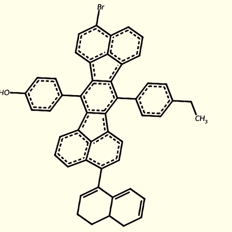 CCc1ccc(-c2c3c4cccc5c(Br)ccc(c3c(-c3ccc(O)cc3)c3c6cccc7c(C8=CCCC9CC=CC=C89)ccc(c23)c76)c54)cc1